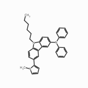 CCCCCCn1c2ccc(-c3cccn3C)cc2c2cc(N(c3ccccc3)c3ccccc3)ccc21